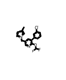 Cc1ccn(Cc2cnc(OC(F)F)c(-c3cccc(Cl)c3)c2)c1